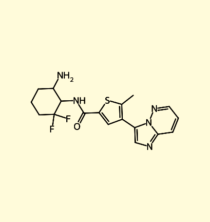 Cc1sc(C(=O)NC2C(N)CCCC2(F)F)cc1-c1cnc2cccnn12